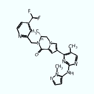 Cc1cnc(Nc2ccnn2C)nc1-c1cc2n(c1)C[C@@H](C)N(Cc1cc(C(F)F)ccn1)C2=O